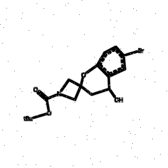 CC(C)(C)OC(=O)N1CC2(CC(O)c3cc(Br)ccc3O2)C1